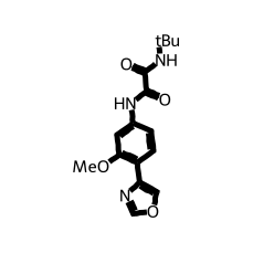 COc1cc(NC(=O)C(=O)NC(C)(C)C)ccc1-c1cocn1